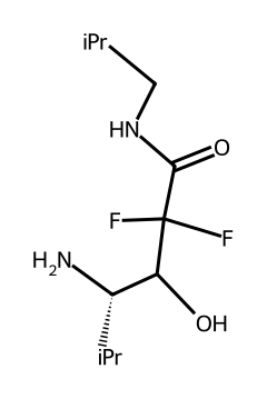 CC(C)CNC(=O)C(F)(F)C(O)[C@@H](N)C(C)C